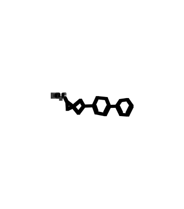 O=C(O)C1CC12CC(C1=CC=C(C3=CC=CCC3)CC1)C2